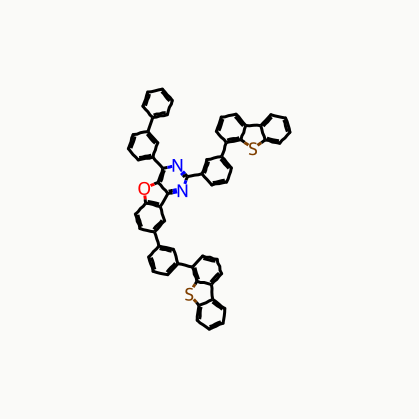 c1ccc(-c2cccc(-c3nc(-c4cccc(-c5cccc6c5sc5ccccc56)c4)nc4c3oc3ccc(-c5cccc(-c6cccc7c6sc6ccccc67)c5)cc34)c2)cc1